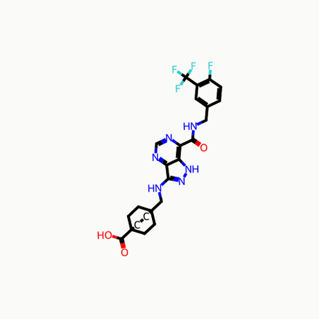 O=C(NCc1ccc(F)c(C(F)(F)F)c1)c1ncnc2c(NCC34CCC(C(=O)O)(CC3)CC4)n[nH]c12